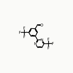 O=Cc1cc(-c2nccc(C(F)(F)F)n2)cc(C(F)(F)F)c1